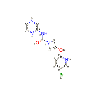 O=C(Nc1cnccn1)N1CC(Oc2ccc(Br)cn2)C1